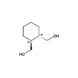 OC[C@H]1CCCC[C@@H]1CO